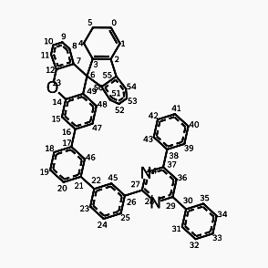 C1=CC2=C(CC1)C1(c3ccccc3Oc3cc(-c4cccc(-c5cccc(-c6nc(-c7ccccc7)cc(-c7ccccc7)n6)c5)c4)ccc31)c1ccccc12